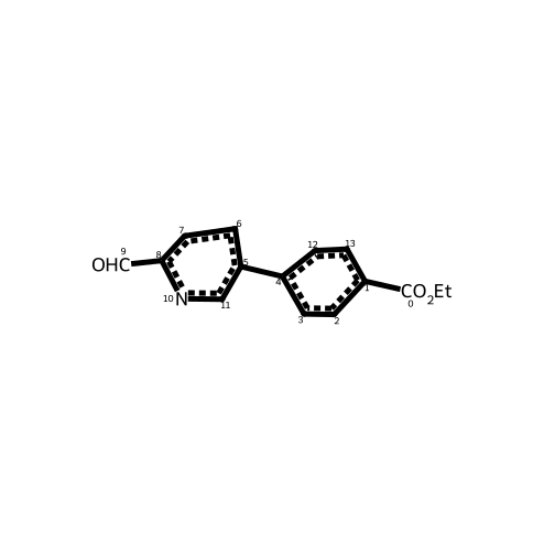 CCOC(=O)c1ccc(-c2ccc(C=O)nc2)cc1